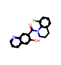 O=C(c1cc2ncccc2cc1O)N1CCCc2cccc(F)c21